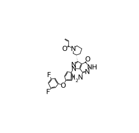 C=CC(=O)N1CCC[C@H](c2nn(-c3ccc(Oc4cc(F)cc(F)c4)cc3)c3c(N)n[nH]c(=O)c23)C1